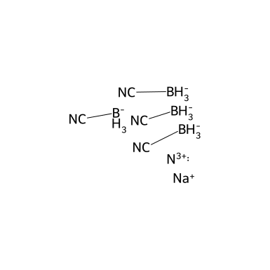 [BH3-]C#N.[BH3-]C#N.[BH3-]C#N.[BH3-]C#N.[N+3].[Na+]